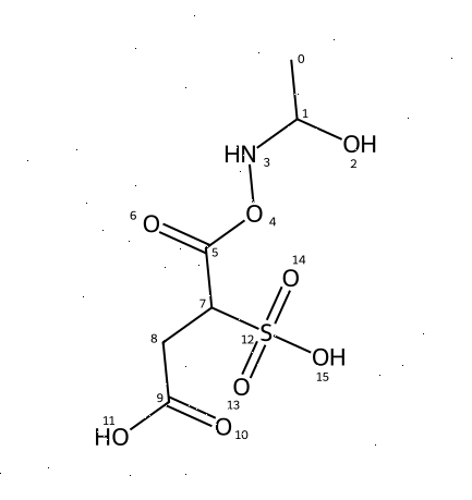 CC(O)NOC(=O)C(CC(=O)O)S(=O)(=O)O